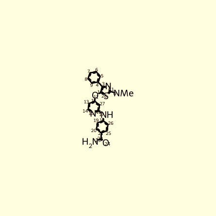 CNc1nc(-c2ccccc2)c(Oc2ccnc(Nc3ccc(C(N)=O)cc3)c2)s1